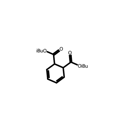 CC(C)COC(=O)C1C=CC=CC1C(=O)OCC(C)C